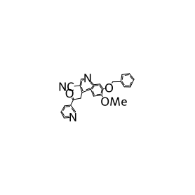 COc1cc2c(CC(=O)c3cccnc3)c(C#N)cnc2cc1OCc1ccccc1